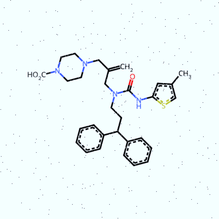 C=C(CN1CCN(C(=O)O)CC1)CN(CCC(c1ccccc1)c1ccccc1)C(=O)Nc1cc(C)cs1